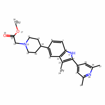 Cc1cc(-c2[nH]c3ccc(C4CCN(CC(=O)OC(C)(C)C)CC4)cc3c2C(C)C)cc(C)n1